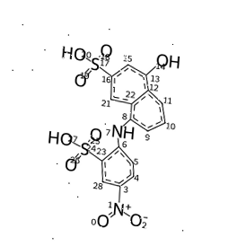 O=[N+]([O-])c1ccc(Nc2cccc3c(O)cc(S(=O)(=O)O)cc23)c(S(=O)(=O)O)c1